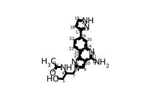 CC(=O)NC(CO)Cn1cc2c(N)nc3cc(-c4cc[nH]n4)ccc3c2n1